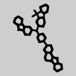 CC1(C)c2ccccc2-c2ccc(N(c3ccc(-c4ccc5c(ccc6c7ccccc7oc56)c4)cc3)c3ccc4sc5ccccc5c4c3)cc21